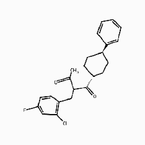 CC(=O)C(Cc1ccc(F)cc1Cl)C(=O)[C@H]1CC[C@H](c2ccccc2)CC1